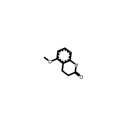 COc1cccc2c1CCC(=O)[N]2